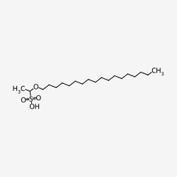 CCCCCCCCCCCCCCCCCCOC(C)S(=O)(=O)O